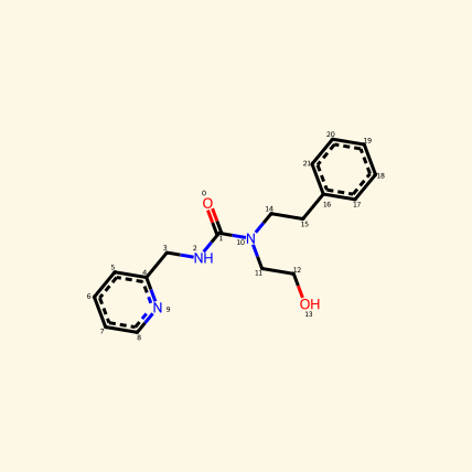 O=C(NCc1ccccn1)N(CCO)CCc1ccccc1